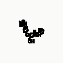 Cc1nc(-c2ccc(Oc3cc4nc(-c5ccccn5)[nH]c4cc3CO)cn2)no1